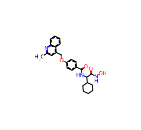 Cc1cc(COc2ccc(C(=O)NC(C(=O)NO)C3CCCCC3)cc2)c2ccccc2n1